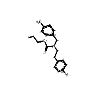 CCCOC(=O)N(CCc1ccc(N)cc1)Cc1ccc(N)cc1